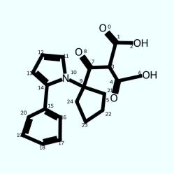 O=C(O)C(C(=O)O)C(=O)C1(n2cccc2-c2ccccc2)CCCC1